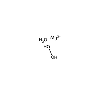 O.OO.[Mg+2]